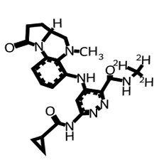 [2H]C([2H])([2H])NC(=O)c1nnc(NC(=O)C2CC2)cc1Nc1cccc2c1N(C)C[C@H]1CCC(=O)N21